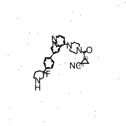 N#C[C@H]1C[C@@H]1C(=O)N1CCN(c2ccnn3cc(-c4ccc([C@@]5(F)CCCNC5)cc4)cc23)CC1